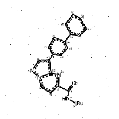 CCC(C)NC(=O)c1ccn2ncc(-c3ccc(-c4ccccc4)cc3)c2n1